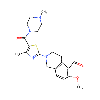 COc1ccc2c(c1C=O)CCN(c1nc(C)c(C(=O)N3CCN(C)CC3)s1)C2